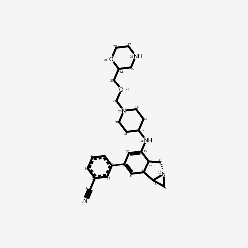 N#Cc1cccc(C2=CC3C(C[N@]4CC34)C(NC3CCN(COCC4CNCCO4)CC3)=C2)c1